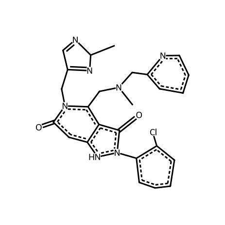 CC1N=CC(Cn2c(CN(C)Cc3ccccn3)c3c(=O)n(-c4ccccc4Cl)[nH]c3cc2=O)=N1